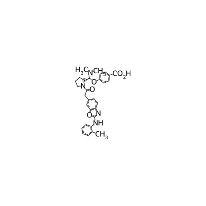 Cc1ccccc1Nc1nc2ccc(CC(=O)N3CCC[C@H]3C(Oc3ccc(C(=O)O)cc3)N(C)C)cc2o1